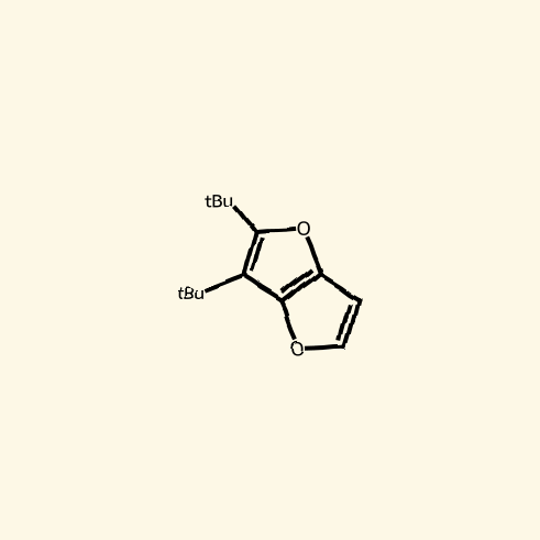 CC(C)(C)c1oc2ccoc2c1C(C)(C)C